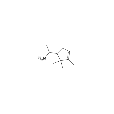 CC1=CCC(C(C)N)C1(C)C